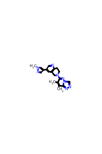 Cc1c(N2CCc3ncc(-c4cnn(C)c4)cc3C2)nn2cnnc2c1C